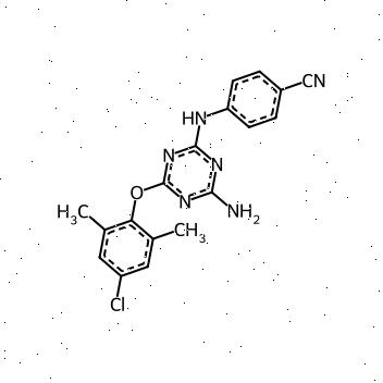 Cc1cc(Cl)cc(C)c1Oc1nc(N)nc(Nc2ccc(C#N)cc2)n1